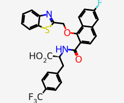 O=C(N[C@@H](Cc1ccc(C(F)(F)F)cc1)C(=O)O)c1ccc2cc(F)ccc2c1OCc1nc2ccccc2s1